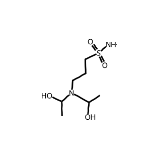 CC(O)N(CCCS([NH])(=O)=O)C(C)O